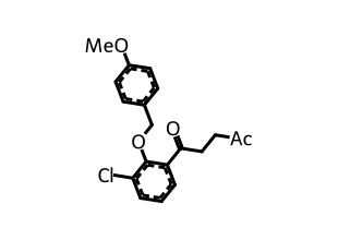 COc1ccc(COc2c(Cl)cccc2C(=O)CCC(C)=O)cc1